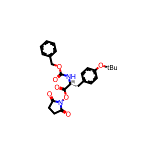 CC(C)(C)Oc1ccc(C[C@@H](NC(=O)OCc2ccccc2)C(=O)ON2C(=O)CCC2=O)cc1